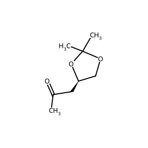 CC(=O)C[C@@H]1COC(C)(C)O1